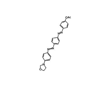 CC(=O)Oc1ccc(N=Nc2ccc(N=Nc3ccc(N4CCOC4)cc3)cc2)cc1